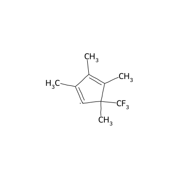 CC1=[C]C(C)(C(F)(F)F)C(C)=C1C